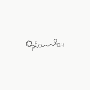 O=C(O)CCCCCOCC(F)(F)c1ccccc1